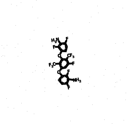 Nc1c(F)ccc(Oc2cc(F)c(C(F)(F)F)c(Oc3ccc(F)c(N)c3F)c2C(F)(F)F)c1F